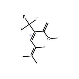 C=C(OC)/C(=C\C(C)=C(C)C)C(F)(F)F